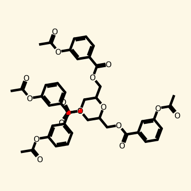 CC(=O)Oc1cccc(C(=O)OCC(COC(=O)c2cccc(OC(C)=O)c2)OC(COC(=O)c2cccc(OC(C)=O)c2)COC(=O)c2cccc(OC(C)=O)c2)c1